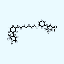 O=C1C=C(c2cccc(OCCCCCCOc3cccc(C4=CC(=O)NS4(=O)=O)c3)c2)S(=O)(=O)N1